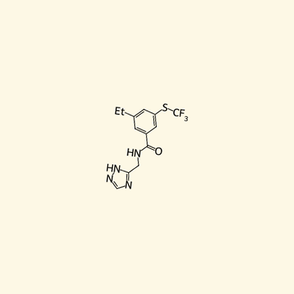 CCc1cc(SC(F)(F)F)cc(C(=O)NCc2ncn[nH]2)c1